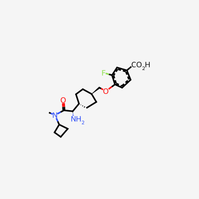 CN(C(=O)[C@@H](N)[C@H]1CC[C@H](COc2ccc(C(=O)O)cc2F)CC1)C1CCC1